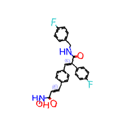 O=C(/C=C/c1ccc(/C=C(/C(=O)NCc2ccc(F)cc2)c2ccc(F)cc2)cc1)NO